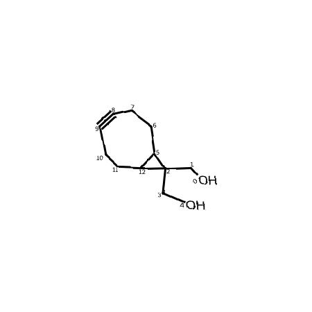 OCC1(CO)C2CCC#CCCC21